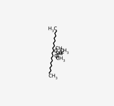 CCCCCCCCCCCCCCCCCCCC.CO[SiH](OC)OC.F